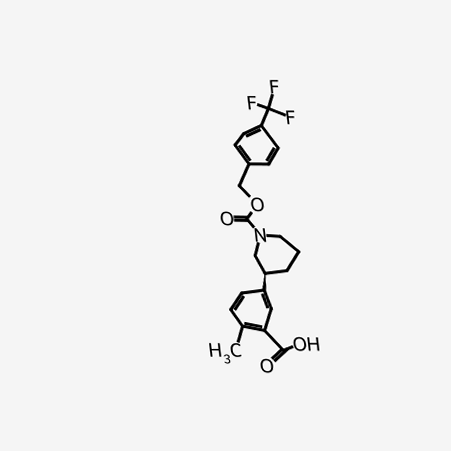 Cc1ccc([C@@H]2CCCN(C(=O)OCc3ccc(C(F)(F)F)cc3)C2)cc1C(=O)O